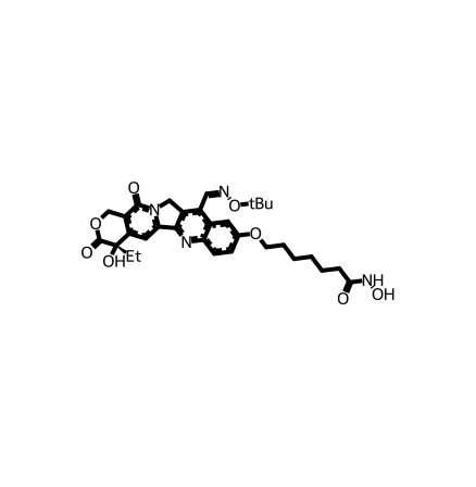 CC[C@@]1(O)C(=O)OCc2c1cc1n(c2=O)Cc2c-1nc1ccc(OCCCCCCC(=O)NO)cc1c2/C=N\OC(C)(C)C